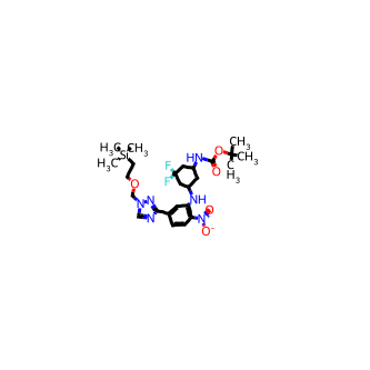 CC(C)(C)OC(=O)NC1CC(Nc2cc(-c3ncn(COCC[Si](C)(C)C)n3)ccc2[N+](=O)[O-])CC(F)(F)C1